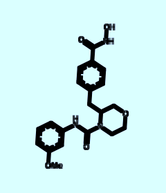 COc1cccc(NC(=O)N2CCOCC2Cc2ccc(C(=O)NO)cc2)c1